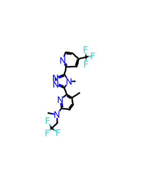 Cc1ccc(N(C)CC(F)(F)F)nc1-c1nnc(-c2cc(C(F)(F)F)ccn2)n1C